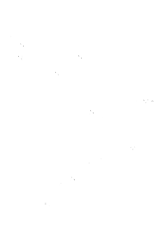 COc1cc(OC)cc(N(CC#CC2(O)CCN(C(=O)OC(C)(C)C)C2)c2ccc3ncc(-c4cnn(C)c4)nc3c2)c1